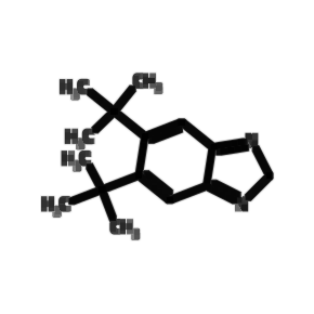 CC(C)(C)c1cc2c(cc1C(C)(C)C)=NCN=2